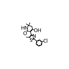 Cc1sc(-c2cccc(Cl)c2)nc1C1=C(O)CC(C)(C)NC1=O